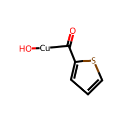 O=[C]([Cu][OH])c1cccs1